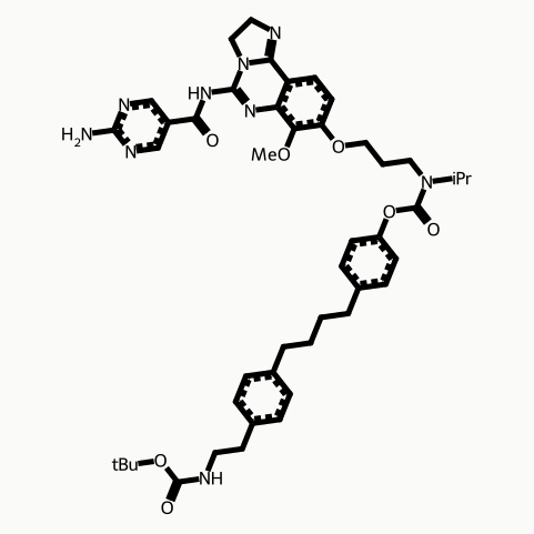 COc1c(OCCCN(C(=O)Oc2ccc(CCCCc3ccc(CCNC(=O)OC(C)(C)C)cc3)cc2)C(C)C)ccc2c1N=C(NC(=O)c1cnc(N)nc1)N1CCN=C21